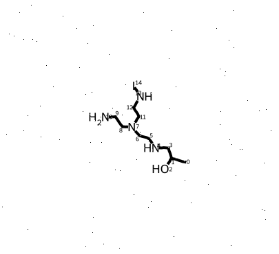 CC(O)CNCCN(CCN)CCNI